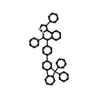 c1ccc(-c2cnn3c(-c4ccccc4)c(-c4ccc(-c5ccc6c(c5)C(c5ccccc5)(c5ccccc5)c5ccccc5-6)cc4)c4ccccc4c23)cc1